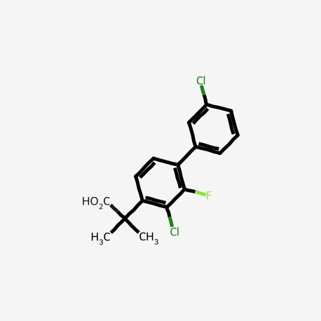 CC(C)(C(=O)O)c1ccc(-c2cccc(Cl)c2)c(F)c1Cl